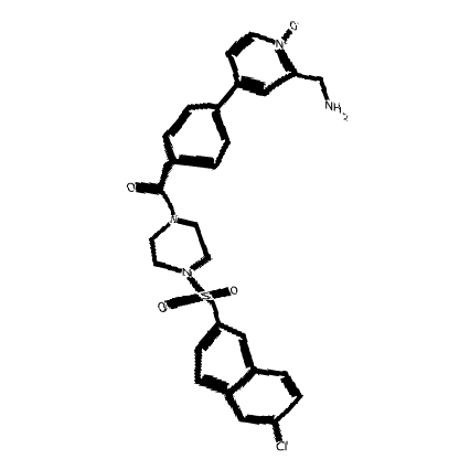 NCc1cc(-c2ccc(C(=O)N3CCN(S(=O)(=O)c4ccc5cc(Cl)ccc5c4)CC3)cc2)cc[n+]1[O-]